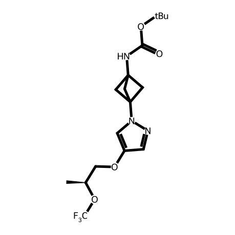 C[C@@H](COc1cnn(C23CC(NC(=O)OC(C)(C)C)(C2)C3)c1)OC(F)(F)F